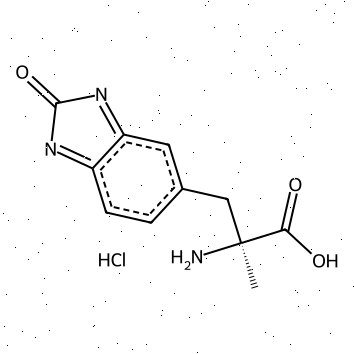 C[C@](N)(Cc1ccc2c(c1)=NC(=O)N=2)C(=O)O.Cl